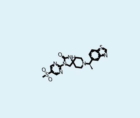 C[C@H](c1ccc2scnc2c1)N1CCC2(CC1)CN(c1ncc(S(C)(=O)=O)cn1)C(=O)N2